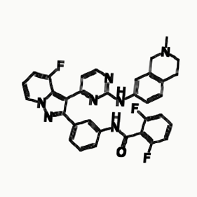 CN1CCc2ccc(Nc3nccc(-c4c(-c5cccc(NC(=O)c6c(F)cccc6F)c5)nn5cccc(F)c45)n3)cc2C1